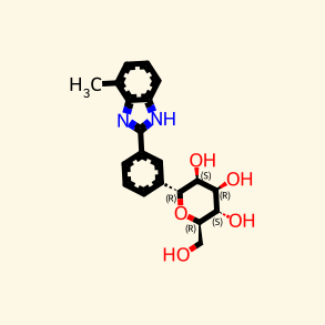 Cc1cccc2[nH]c(-c3cccc([C@H]4O[C@H](CO)[C@@H](O)[C@H](O)[C@@H]4O)c3)nc12